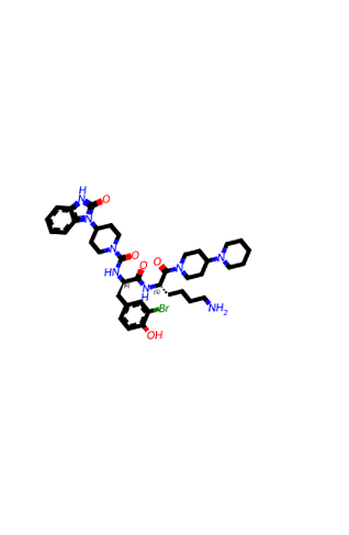 NCCCC[C@H](NC(=O)[C@@H](Cc1ccc(O)c(Br)c1)NC(=O)N1CCC(n2c(=O)[nH]c3ccccc32)CC1)C(=O)N1CCC(N2CCCCC2)CC1